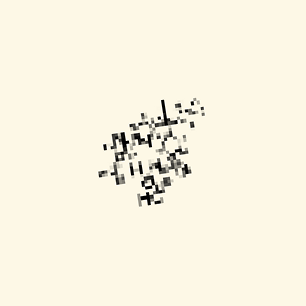 CC1(C)CC(C(Nc2ccc(-n3cc(C4CC4)cn3)nc2)c2ccc(C(=O)C(N)CC(=O)O)cc2)C1